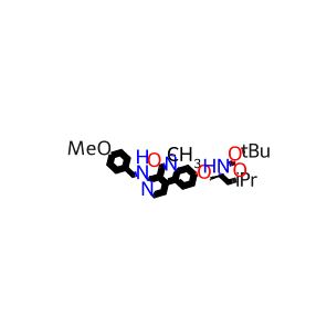 COc1ccc(CNc2nccc3c2c(=O)n(C)c2cc(OC[C@H](CC(C)C)NC(=O)OC(C)(C)C)ccc32)cc1